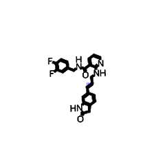 O=C1Cc2ccc(/C=C/CNc3ncccc3C(=O)NCc3ccc(F)c(F)c3)cc2N1